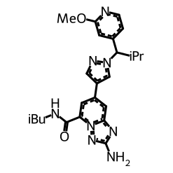 CCC(C)NC(=O)c1cc(-c2cnn(C(c3ccnc(OC)c3)C(C)C)c2)cc2nc(N)nn12